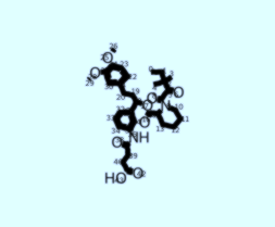 CCC(C)(C)C(=O)C(=O)N1CCCCC1C(=O)OC(CCc1ccc(OC)c(OC)c1)c1cccc(NC(=O)CCC(=O)O)c1